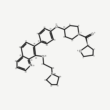 O=C([C@H]1CCCO1)N1CCC(Oc2ccc(-c3ccc4cccnc4c3OCCN3CCCC3)cc2)CC1